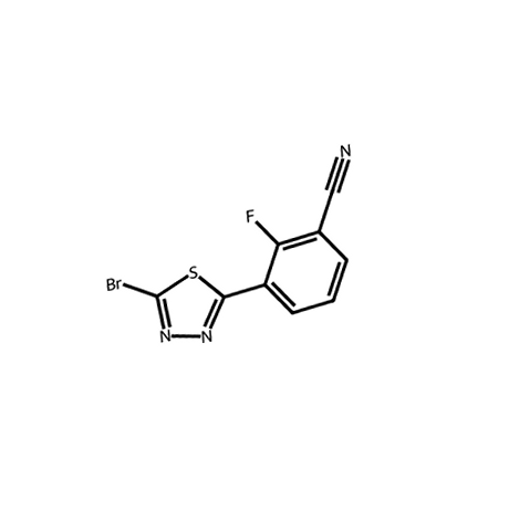 N#Cc1cccc(-c2nnc(Br)s2)c1F